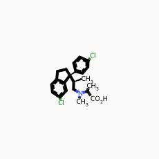 CC(C(=O)O)N(C)C[C@H](C)[C@@]1(c2ccc(Cl)cc2)CCc2ccc(Cl)cc21